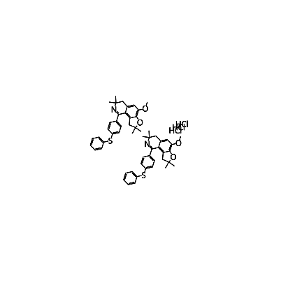 COc1cc2c(c3c1OC(C)(C)C3)C(c1ccc(Sc3ccccc3)cc1)=NC(C)(C)C2.COc1cc2c(c3c1OC(C)(C)C3)C(c1ccc(Sc3ccccc3)cc1)=NC(C)(C)C2.Cl.Cl.Cl